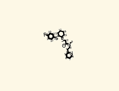 CN(CCc1ccccn1)C(=O)CS[C@@H]1CCCC[C@H]1Sc1ccc(F)cc1